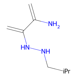 C=C(N)C(=C)NNCC(C)C